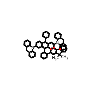 CC1(C)c2ccccc2-c2ccc(-c3ccccc3-c3c4ccc(N5c6ccccc6Cc6ccccc65)cc4c(-c4ccccc4)c4ccc(N5c6ccccc6Cc6ccccc65)cc34)cc21